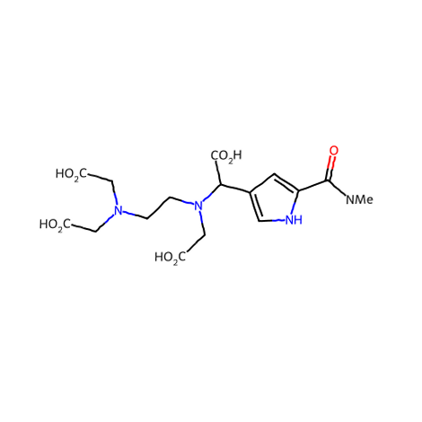 CNC(=O)c1cc(C(C(=O)O)N(CCN(CC(=O)O)CC(=O)O)CC(=O)O)c[nH]1